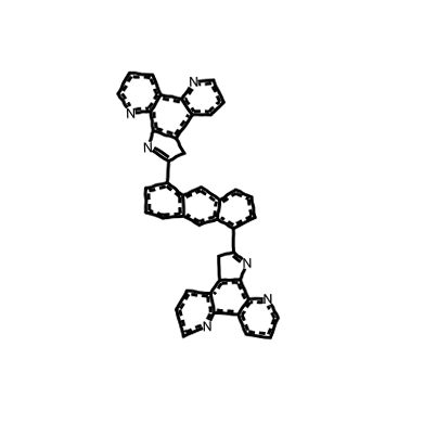 c1cc(C2=Nc3c(c4cccnc4c4cccnc34)C2)c2cc3cccc(C4=Nc5c(c6cccnc6c6cccnc56)C4)c3cc2c1